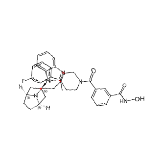 Cc1nc2ccccc2n1[C@H]1C[C@H]2CC[C@@H](C1)N2CCC1(c2cccc(F)c2)CCN(C(=O)c2cccc(C(=O)NO)c2)CC1